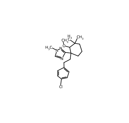 COC1C(C)(C)CCCC1(CCc1ccc(Cl)cc1)c1ncn(C)n1